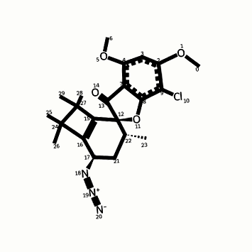 COc1cc(OC)c2c(c1Cl)O[C@]1(C2=O)C2=C([C@H](N=[N+]=[N-])C[C@H]1C)C(C)(C)C2(C)C